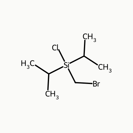 CC(C)[Si](Cl)(CBr)C(C)C